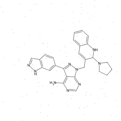 Nc1ncnc2c1c(-c1ccc3cn[nH]c3c1)nn2CC1=Cc2ccccc2NC1N1CCCC1